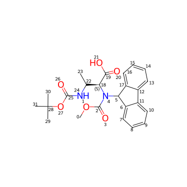 COC(=O)N(C1c2ccccc2-c2ccccc21)[C@H](C(=O)O)C(C)NC(=O)OC(C)(C)C